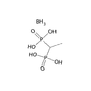 B.CC(P(=O)(O)O)P(=O)(O)O